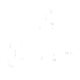 COC(=O)c1cccc(C#Cc2ccnc(CN)c2)c1C#Cc1ccnc(CN)c1